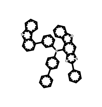 c1ccc(-c2ccc(N(c3cccc(-c4cccc5sc6ccccc6c45)c3)c3c4oc(-c5ccccc5)nc4cc4oc5ccccc5c34)cc2)cc1